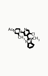 CC(=O)N1CCN(c2cc(-c3nc4ccccc4n3C)c(Cl)cn2)C(C)C1